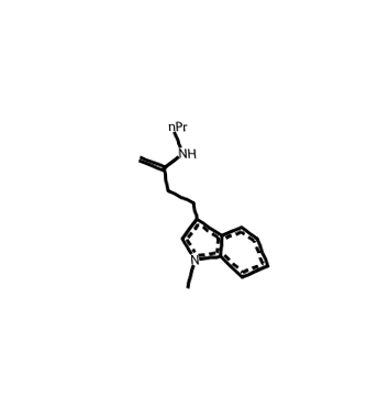 C=C(CCc1cn(C)c2ccccc12)NCCC